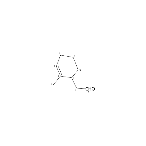 CC1=CCCCC1CC=O